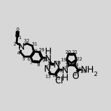 C#CCN1CCc2ccc(Nc3ncc(Cl)c(NC4C5C=CC(C5)C4C(N)=O)n3)cc2CC1